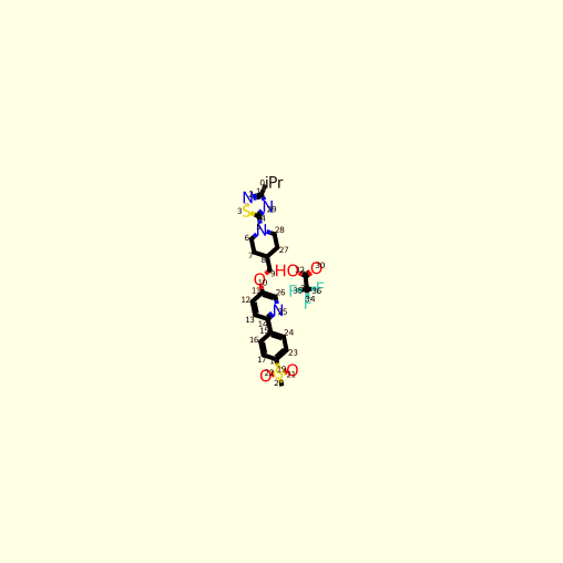 CC(C)c1nsc(N2CCC(COc3ccc(-c4ccc(S(C)(=O)=O)cc4)nc3)CC2)n1.O=C(O)C(F)(F)F